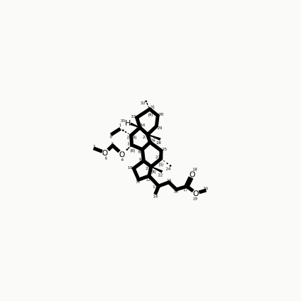 CC[C@H]1[C@@H](OCOC)C2C3CCC(C(C)CCC(=O)OC)[C@@]3(C)[C@@H](C)CC2[C@@]2(C)CC[C@@H](C)C[C@@H]12